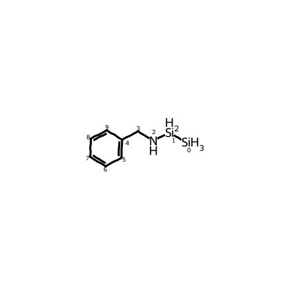 [SiH3][SiH2]NCc1ccccc1